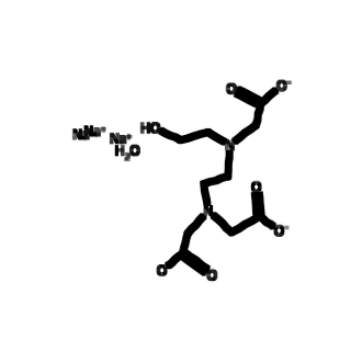 O.O=C([O-])CN(CCO)CCN(CC(=O)[O-])CC(=O)[O-].[Na+].[Na+].[Na+]